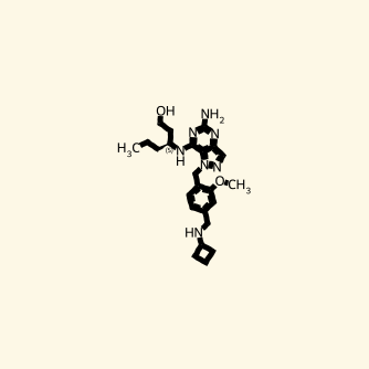 CCC[C@@H](CCO)Nc1nc(N)nc2cnn(Cc3ccc(CNC4CCC4)cc3OC)c12